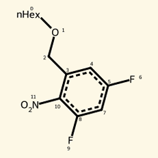 CCCCCCOCc1cc(F)cc(F)c1[N+](=O)[O-]